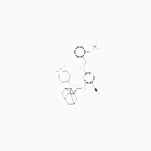 N#Cc1cnc(NCc2ccccc2OC(F)(F)F)nc1NCC12CC3C[C@H](C1)[C@H](NC1CCS(O)(O)CC1)[C@@H](C3)C2